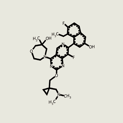 CCc1c(F)ccc2cc(O)cc(-c3ncc4c(N5CCOCC(C)(O)C5)nc(OCC5(CN(C)C)CC5)nc4c3F)c12